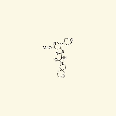 COC1=NC=C(C2CCOCC2)C2SC(NC(=O)N3CCC4(CCCOC4)C3)=NC12